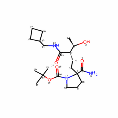 C[C@@H](O)[C@H](CCC1(C(N)=O)CCCN1C(=O)OC(C)(C)C)C(=O)NCC1CCC1